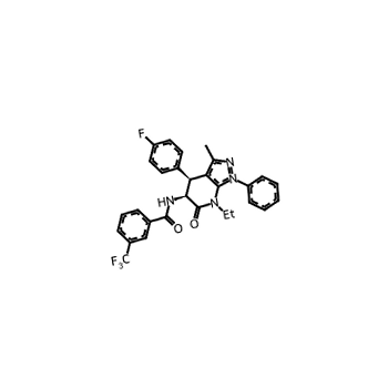 CCN1C(=O)[C@@H](NC(=O)c2cccc(C(F)(F)F)c2)[C@@H](c2ccc(F)cc2)c2c(C)nn(-c3ccccc3)c21